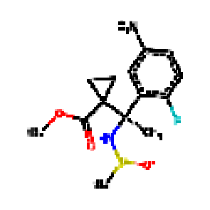 CC(C)(C)OC(=O)C1([C@](C)(N[S+]([O-])C(C)(C)C)c2cc([N+](=O)[O-])ccc2F)CC1